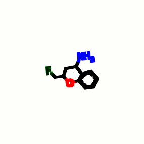 NC1CC(CF)Oc2ccccc21